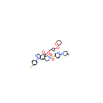 O=C(OCC1CC(OC2CCCCO2)C1)[C@]12Cc3cnn(-c4ccc(F)cc4)c3C=C1CCN(S(=O)(=O)c1ccc(N3CC[C@@H](F)C3)nc1)C2